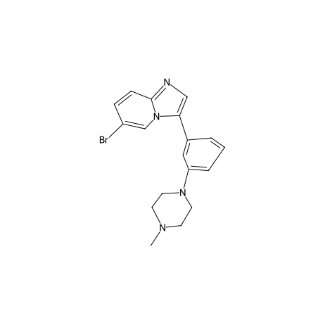 CN1CCN(c2cccc(-c3cnc4ccc(Br)cn34)c2)CC1